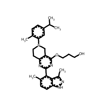 Cc1ccc(C(C)C)cc1N1CCc2nc(-c3c(C)ccc4[nH]nc(C)c34)nc(OCCCO)c2C1